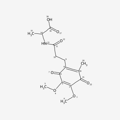 COC1=C(OC)C(=O)C(CCC(=O)NC(C)C(=O)O)=C(C)C1=O